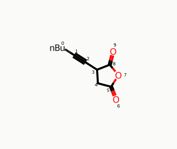 CCCCC#CC1CC(=O)OC1=O